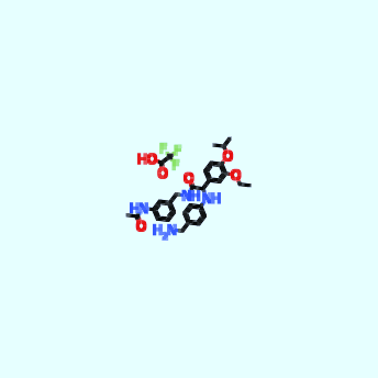 CCOc1cc(C(Nc2ccc(CN)cc2)C(=O)NCc2cccc(NC(C)=O)c2)ccc1OC(C)C.O=C(O)C(F)(F)F